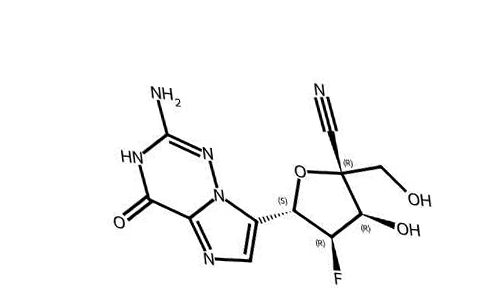 N#C[C@]1(CO)O[C@@H](c2cnc3c(=O)[nH]c(N)nn23)[C@H](F)[C@@H]1O